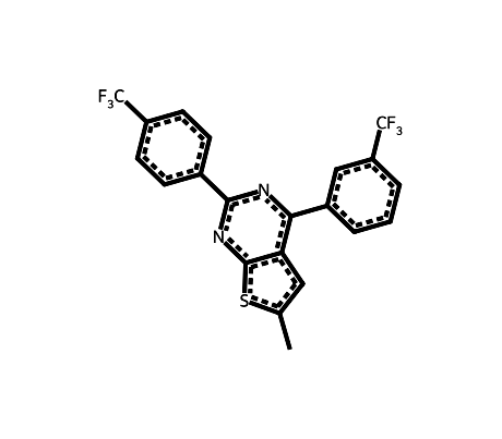 Cc1cc2c(-c3cccc(C(F)(F)F)c3)nc(-c3ccc(C(F)(F)F)cc3)nc2s1